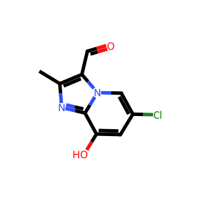 Cc1nc2c(O)cc(Cl)cn2c1C=O